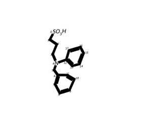 O=S(=O)(O)CCCN(Cc1ccccc1)c1ccccc1